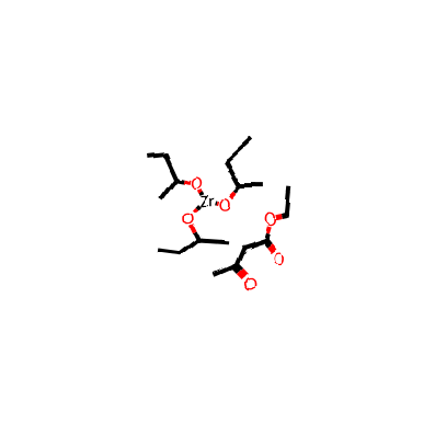 CCC(C)[O][Zr]([O]C(C)CC)[O]C(C)CC.CCOC(=O)CC(C)=O